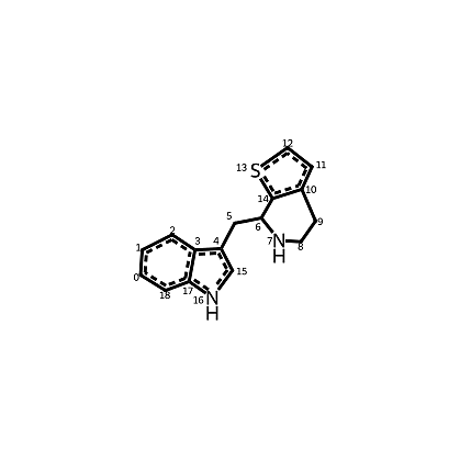 c1ccc2c(CC3NCCc4ccsc43)c[nH]c2c1